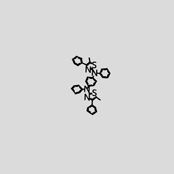 Cc1sc(N(c2ccccc2)c2ccc(N(c3ccccc3)c3nc(-c4ccccc4)c(C)s3)cc2)nc1-c1ccccc1